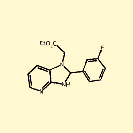 CCOC(=O)CN1c2cccnc2NC1c1cccc(F)c1